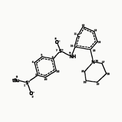 CC(C)(C)[S+]([O-])c1ccc([S+]([O-])Nc2ccccc2N2CCCCC2)cc1